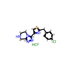 Cl.Clc1ccc(Cc2nc(-c3nnc4n3CCNC4)cs2)cc1